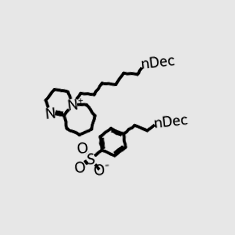 CCCCCCCCCCCCCCCC[N+]12CCCCCC1=NCCC2.CCCCCCCCCCCCc1ccc(S(=O)(=O)[O-])cc1